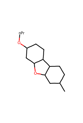 CCCOC1CCC2C(C1)OC1CC(C)CCC12